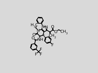 C=C(C(=O)OCC)c1nn(-c2ccccc2)c2c1[C@@H](c1ccc(F)cc1)[C@@H](NC(=O)c1cccc(C(F)(F)F)c1)C(=O)N2CC